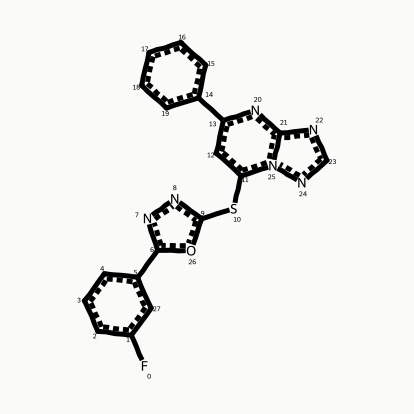 Fc1cccc(-c2nnc(Sc3cc(-c4ccccc4)nc4ncnn34)o2)c1